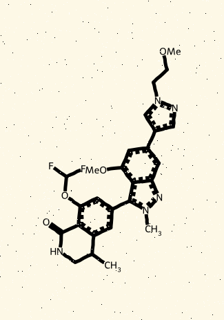 COCCn1cc(-c2cc(OC)c3c(-c4cc(OC(F)F)c5c(c4)C(C)CNC5=O)n(C)nc3c2)cn1